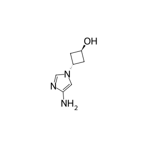 Nc1cn([C@H]2C[C@H](O)C2)cn1